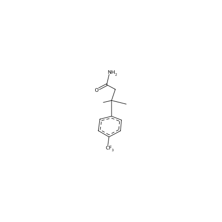 CC(C)(CC(N)=O)c1ccc(C(F)(F)F)cc1